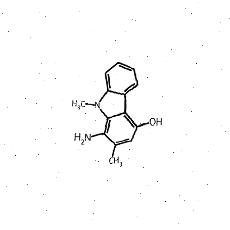 Cc1cc(O)c2c3ccccc3n(C)c2c1N